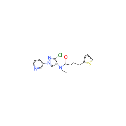 CCN(C(=O)CCCc1cccs1)c1cn(-c2cccnc2)nc1Cl